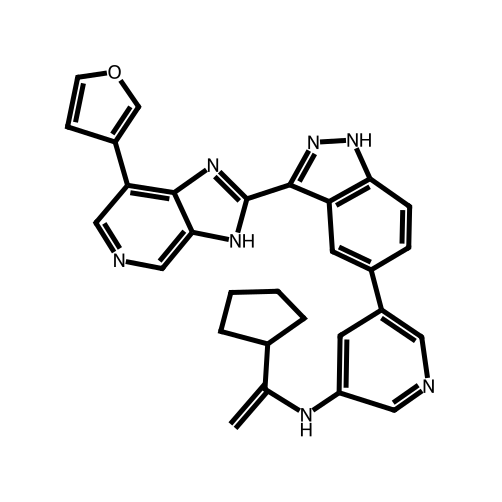 C=C(Nc1cncc(-c2ccc3[nH]nc(-c4nc5c(-c6ccoc6)cncc5[nH]4)c3c2)c1)C1CCCC1